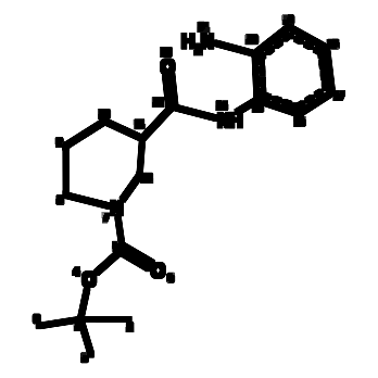 CC(C)(C)OC(=O)N1CCCC(C(=O)Nc2ccccc2N)C1